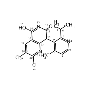 Cc1ccnc(C(C)C)c1C1C(=O)N=C(O)c2cc(Cl)c(Cl)nc21